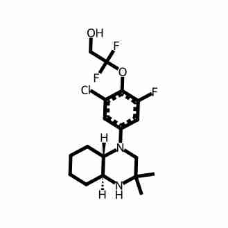 CC1(C)CN(c2cc(F)c(OC(F)(F)CO)c(Cl)c2)[C@H]2CCCC[C@@H]2N1